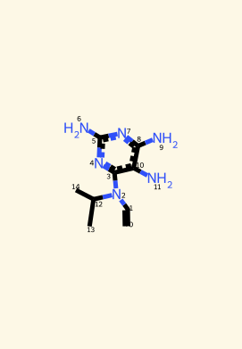 C=CN(c1nc(N)nc(N)c1N)C(C)C